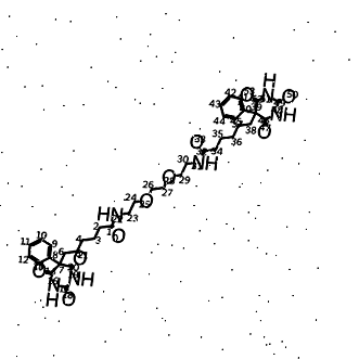 O=C(CCCCCC1(c2ccccc2)C(=O)NC(=O)NC1=O)NCCOCCOCCNC(=O)CCCCCC1(c2ccccc2)C(=O)NC(=O)NC1=O